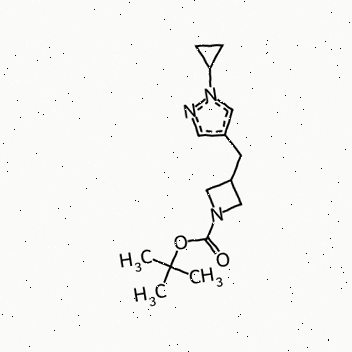 CC(C)(C)OC(=O)N1CC(Cc2cnn(C3CC3)c2)C1